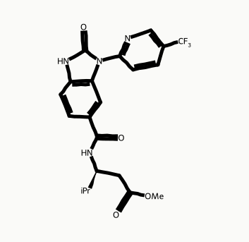 COC(=O)C[C@H](NC(=O)c1ccc2[nH]c(=O)n(-c3ccc(C(F)(F)F)cn3)c2c1)C(C)C